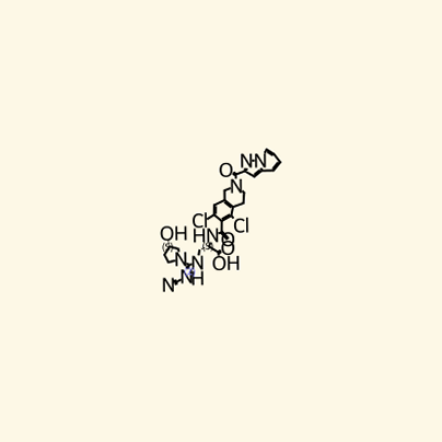 N#C/N=C(/NC[C@H](NC(=O)c1c(Cl)cc2c(c1Cl)CCN(C(=O)c1cc3ccccn3n1)C2)C(=O)O)N1CC[C@H](O)C1